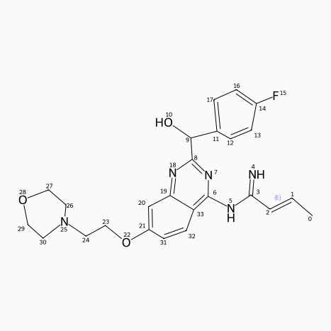 C/C=C/C(=N)Nc1nc(C(O)c2ccc(F)cc2)nc2cc(OCCN3CCOCC3)ccc12